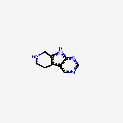 c1ncc2c3c([nH]c2n1)CNCC3